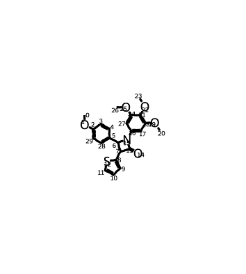 COc1ccc(C2C(c3cccs3)C(=O)N2c2cc(OC)c(OC)c(OC)c2)cc1